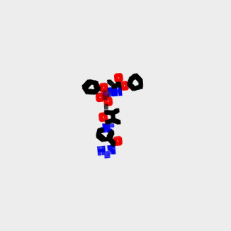 CC1C(C)[C@@H](COP(=O)(N[C@@H](C)C(=O)OC2CCCCC2)Oc2ccccc2)O[C@H]1[n+]1cccc(C(N)=O)c1